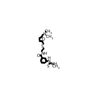 CNC(=S)Nc1cccc(C(=O)NCCSCc2ccc(CN(C)C)o2)c1